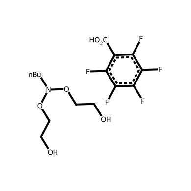 CCCCN(OCCO)OCCO.O=C(O)c1c(F)c(F)c(F)c(F)c1F